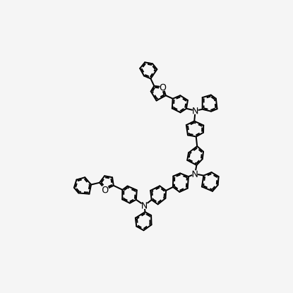 c1ccc(-c2ccc(-c3ccc(N(c4ccccc4)c4ccc(-c5ccc(N(c6ccccc6)c6ccc(-c7ccc(N(c8ccccc8)c8ccc(-c9ccc(-c%10ccccc%10)o9)cc8)cc7)cc6)cc5)cc4)cc3)o2)cc1